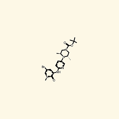 C[C@H]1CN(C(=O)OC(C)(C)C)C[C@H](C)N1c1ccc(Nc2cc(Br)cn(C)c2=O)nc1